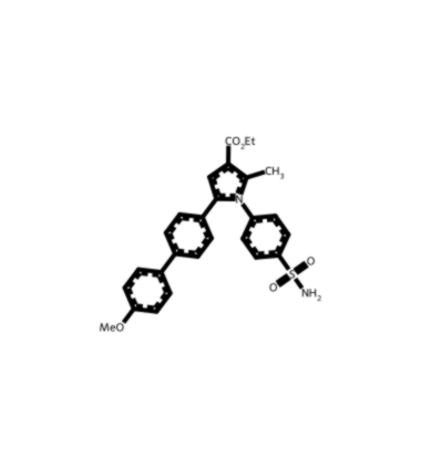 CCOC(=O)c1cc(-c2ccc(-c3ccc(OC)cc3)cc2)n(-c2ccc(S(N)(=O)=O)cc2)c1C